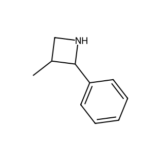 CC1CNC1c1ccccc1